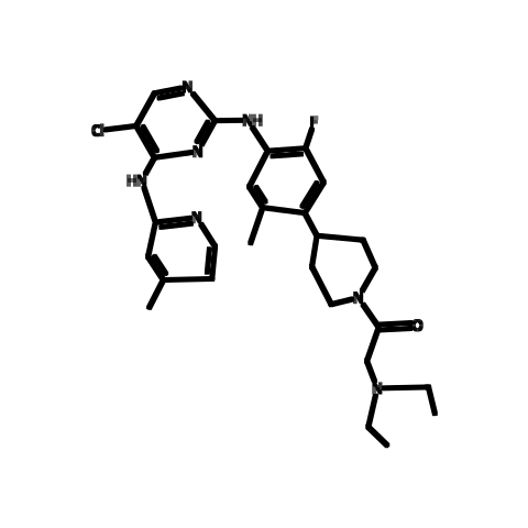 CCN(CC)CC(=O)N1CCC(c2cc(F)c(Nc3ncc(Cl)c(Nc4cc(C)ccn4)n3)cc2C)CC1